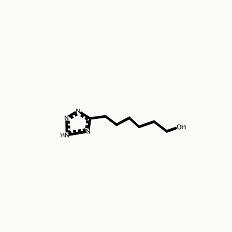 OCCCCCCc1nn[nH]n1